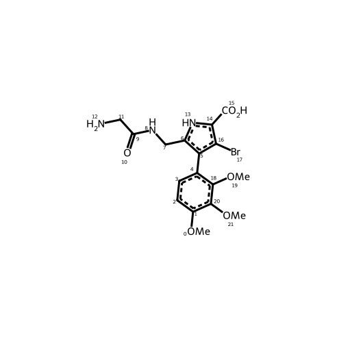 COc1ccc(-c2c(CNC(=O)CN)[nH]c(C(=O)O)c2Br)c(OC)c1OC